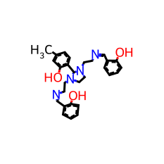 Cc1ccc(C2N(CC/N=C\c3ccccc3O)CCN2CC/N=C\c2ccccc2O)c(O)c1